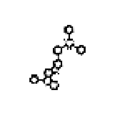 c1ccc(-c2nc(-c3ccccc3)nc(-c3cccc(-c4ccc5sc6c(ccc7c(-c8ccccc8)nc8ccccc8c76)c5c4)c3)n2)cc1